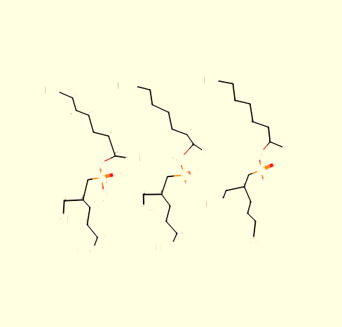 CCCCCCC(C)OP(=O)([O-])CC(CC)CCCC.CCCCCCC(C)OP(=O)([O-])CC(CC)CCCC.CCCCCCC(C)OP(=O)([O-])CC(CC)CCCC.[Cr+3]